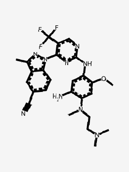 COc1cc(N(C)CCN(C)C)c(N)cc1Nc1ncc(C(F)(F)F)c(-n2nc(C)c3cc(C#N)ccc32)n1